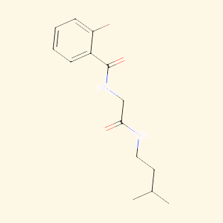 CC(C)CCNC(=O)CNC(=O)c1ccccc1Br